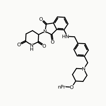 CCCOC1CCN(Cc2ccc(CNc3cccc4c3C(=O)N(C3CCC(=O)NC3=O)C4=O)cc2)CC1